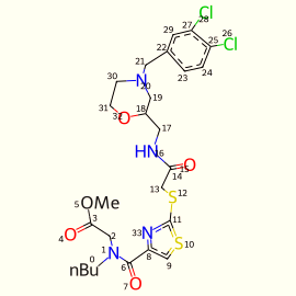 CCCCN(CC(=O)OC)C(=O)c1csc(SCC(=O)NCC2CN(Cc3ccc(Cl)c(Cl)c3)CCO2)n1